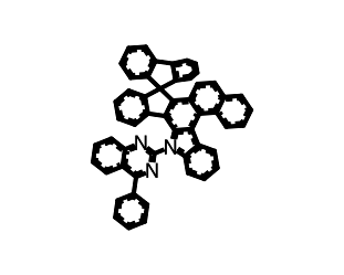 c1ccc(-c2nc(-n3c4ccccc4c4c5c(ccc6ccccc65)c5c(c43)-c3ccccc3C53c4ccccc4-c4ccccc43)nc3ccccc23)cc1